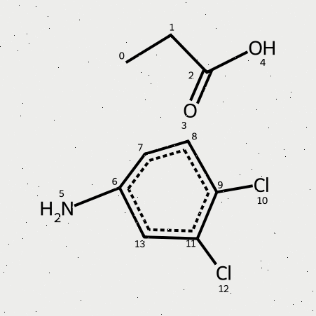 CCC(=O)O.Nc1ccc(Cl)c(Cl)c1